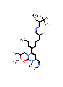 CC/C=C(\C=C\CC(C)/C=N\C=C(/CC)C(C)(C)O)C1=CC(/C=N\C)N(C)C(=O)N1CC(C)OC